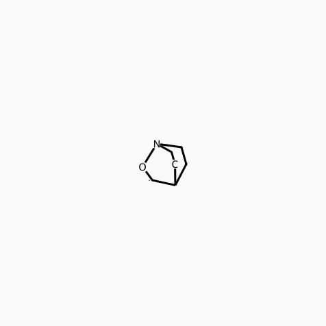 [CH]1ON2CCC1CC2